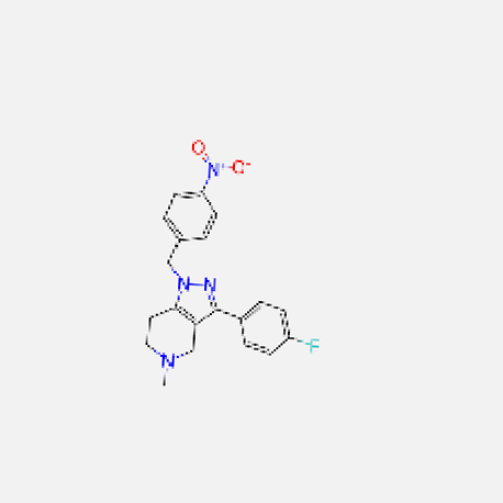 CN1CCc2c(c(-c3ccc(F)cc3)nn2Cc2ccc([N+](=O)[O-])cc2)C1